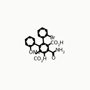 COc1ccccc1-c1c(C)c(C(=O)O)c(C(N)=O)c(C(=O)O)c1-c1ccccc1Br